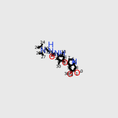 COc1cc2nccc(Oc3cc(C)c(NC(=O)NCCN(C(C)C)C(C)C)cc3C)c2cc1OC